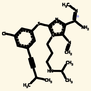 C=Nc1c(/C(N)=N\C)nc(Sc2cc(Cl)cc(C#CC(C)C)c2)n1CCCNC(C)C